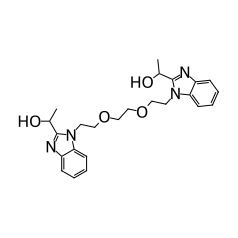 CC(O)c1nc2ccccc2n1CCOCCOCCn1c(C(C)O)nc2ccccc21